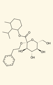 CC(C)C1C(C)CCCC1OC(=O)[C@@]1(OCCc2ccccc2)O[C@H](CO)[C@@H](O)[C@H](O)[C@H]1O